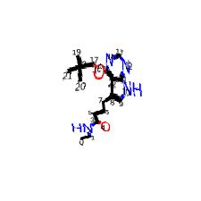 CCNC(=O)/C=C/Cc1c[nH]c2ncnc(OCC(C)(C)C)c12